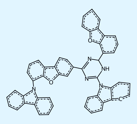 c1ccc2c(c1)oc1c(C3N=C(c4ccc5c(c4)oc4c(-n6c7ccccc7c7ccccc76)cccc45)N=C(n4c5ccccc5c5ccccc54)N3)cccc12